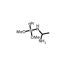 CCC[Si](NC(C)N)(OC)OC